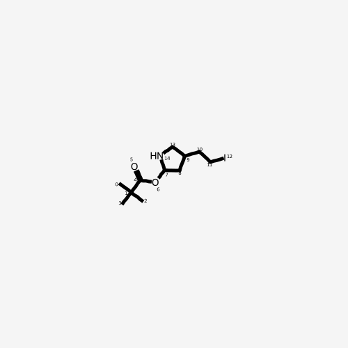 CC(C)(C)C(=O)OC1CC(CCI)CN1